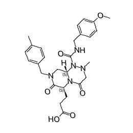 COc1ccc(CNC(=O)N2[C@H]3CN(Cc4ccc(C)cc4)C(=O)[C@H](CCC(=O)O)N3C(=O)CN2C)cc1